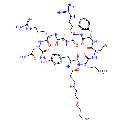 COCCOCCCNCCC(=O)N[C@@H](Cc1ccc(O)cc1)C(=O)N[C@@H](CCC(=O)O)C(=O)N[C@@H](CC(C)C)C(=O)N[C@@H](Cc1ccccc1)C(=O)N[C@@H](CCCNC(=N)N)C(=O)N(C)[C@@H](C)C(=O)N[C@@H](CCCNC(=N)N)C(=O)N[C@@H](CC(N)=O)C(N)=O